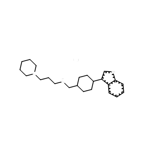 Cl.c1ccc2c(C3CCC(CNCCCN4CCCCC4)CC3)c[nH]c2c1